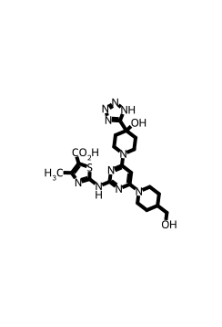 Cc1nc(Nc2nc(N3CCC(CO)CC3)cc(N3CCC(O)(c4nnn[nH]4)CC3)n2)sc1C(=O)O